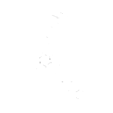 [CH2]CCc1cc(OCCCCCC(N)=O)cc(OCCCCCC(N)=O)c1